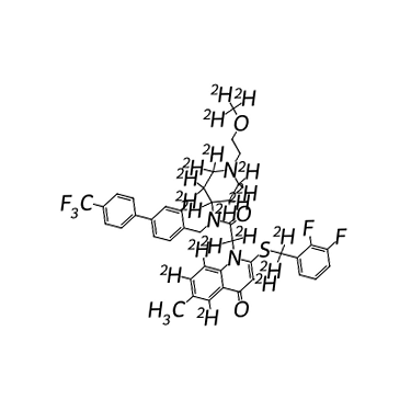 [2H]c1c(C)c([2H])c2c(=O)c([2H])c(SC([2H])([2H])c3cccc(F)c3F)n(C([2H])([2H])C(=O)N(Cc3ccc(-c4ccc(C(F)(F)F)cc4)cc3)C3([2H])C([2H])([2H])C([2H])([2H])N(CCOC([2H])([2H])[2H])C([2H])([2H])C3([2H])[2H])c2c1[2H]